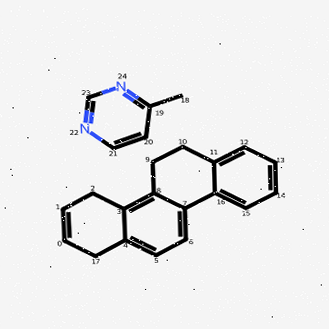 C1=CCc2c(ccc3c2CCc2ccccc2-3)C1.Cc1ccncn1